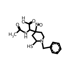 CC(=O)NC(C(=O)O)C1(N=O)CCN(Cc2ccccc2)C(S)C1